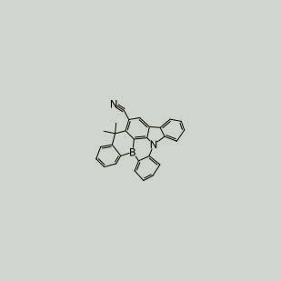 CC1(C)c2ccccc2B2c3ccccc3-n3c4ccccc4c4cc(C#N)c1c2c43